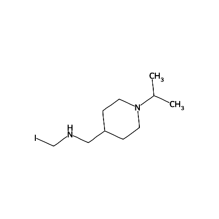 CC(C)N1CCC(CNCI)CC1